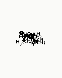 CC(C)=NNC(=O)[C@@H](Cc1cn(C(=O)OC(C)(C)C)cn1)NC(=O)[C@@H](Cc1ccccc1)NC(=O)CC(C)C